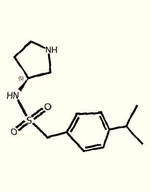 CC(C)c1ccc(CS(=O)(=O)N[C@H]2CCNC2)cc1